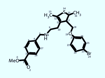 COC(=O)c1ccc(CNCCC2=C(C)SC(C)C2COc2ccc(Br)cc2)cc1